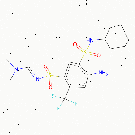 CN(C)C=NS(=O)(=O)c1cc(S(=O)(=O)NC2CCCCC2)c(N)cc1C(F)(F)F